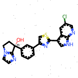 O[C@@]1(c2cccc(-c3csc(-c4c[nH]c5ncc(Cl)cc45)n3)c2)CCn2ccnc21